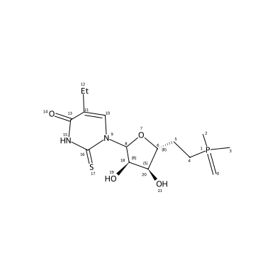 C=P(C)(C)CC[C@H]1OC(n2cc(CC)c(=O)[nH]c2=S)[C@H](O)[C@@H]1O